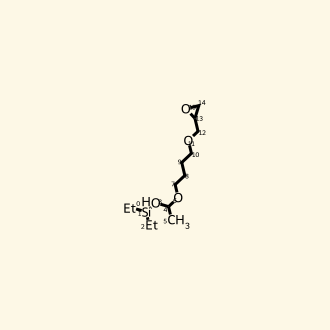 CC[SiH](CC)OC(C)OCCCCOCC1CO1